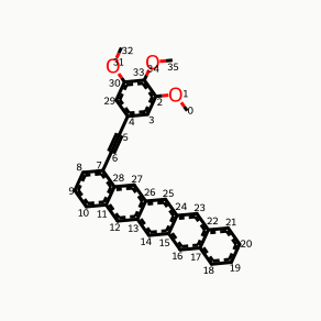 COc1cc(C#Cc2cccc3cc4cc5cc6ccccc6cc5cc4cc23)cc(OC)c1OC